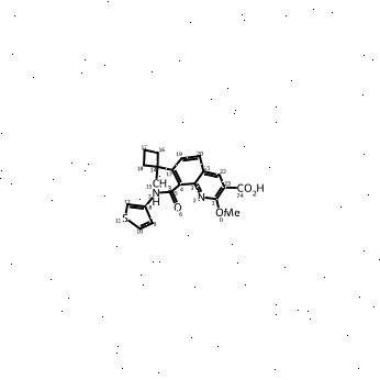 COc1nc2c(C(=O)Nc3ccsc3)c(C3(C)CCC3)ccc2cc1C(=O)O